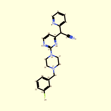 N#CC(c1ccccn1)c1ccnc(N2CCN(Cc3cccc(F)c3)CC2)n1